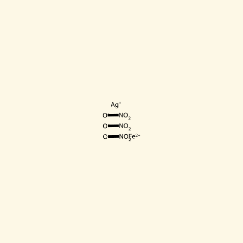 O=[N+]([O-])[O-].O=[N+]([O-])[O-].O=[N+]([O-])[O-].[Ag+].[Fe+2]